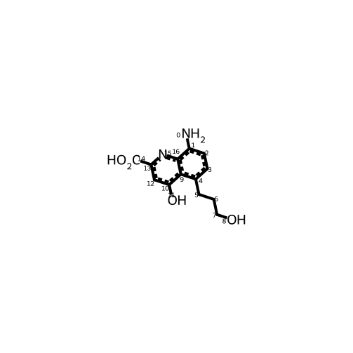 Nc1ccc(CCCO)c2c(O)cc(C(=O)O)nc12